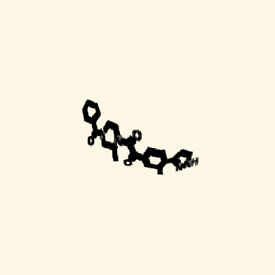 Cc1cc(C(=O)C(=O)N2CCN(C(=O)c3ccccc3)CC2C)ccc1-c1cc[nH]n1